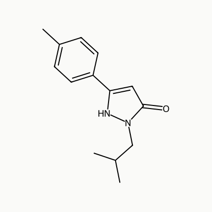 Cc1ccc(-c2cc(=O)n(CC(C)C)[nH]2)cc1